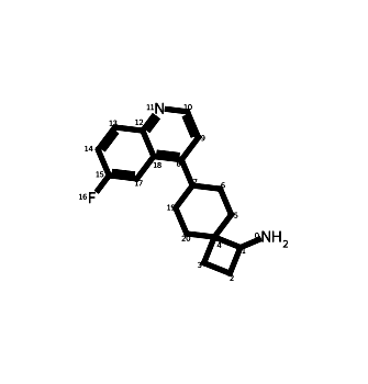 NC1CCC12CCC(c1ccnc3ccc(F)cc13)CC2